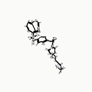 O=C(c1ccc(NS(=O)(=O)c2cccc3scnc23)cc1)N1CCC(O)(C/C=C/C(F)(F)F)CC1